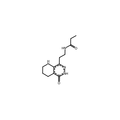 CCC(=O)NCCc1n[nH]c(=O)c2c1NCCC2